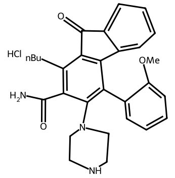 CCCCc1c2c(c(-c3ccccc3OC)c(N3CCNCC3)c1C(N)=O)-c1ccccc1C2=O.Cl